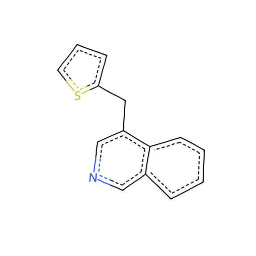 c1csc(Cc2cncc3ccccc23)c1